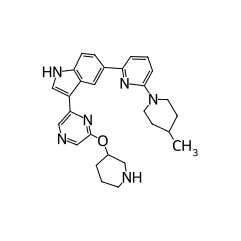 CC1CCN(c2cccc(-c3ccc4[nH]cc(-c5cncc(OC6CCCNC6)n5)c4c3)n2)CC1